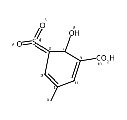 CC1=CC(=S(=O)=O)C(O)C(C(=O)O)=C1